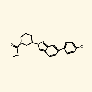 CC(C)(C)OC(=O)N1CCCC(n2cc3ccc(-c4ccc(Cl)cc4)cc3n2)C1